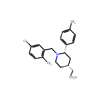 O=C(O)C[C@@H]1CCN(Cc2cc(Cl)ccc2C(F)(F)F)[C@H](c2ccc(C(F)(F)F)cc2)C1